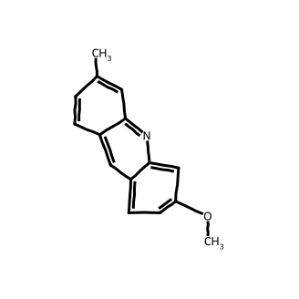 COc1ccc2cc3ccc(C)cc3nc2c1